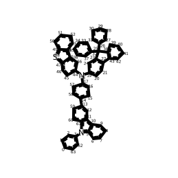 c1ccc(-n2c3ccccc3c3cc(-c4ccc(N(c5ccc6c(c5)C(c5ccccc5)(c5ccccc5)c5ccccc5-6)c5ccc6sc7ccccc7c6c5)cc4)ccc32)cc1